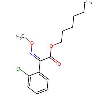 CCCCCCOC(=O)C(=NOC)c1c[c]ccc1Cl